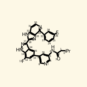 CC(C)CC(=O)Nc1cncc(-c2cc(F)c3[nH]nc(-c4nc5c(-c6cccc(F)c6)nccc5[nH]4)c3c2)c1